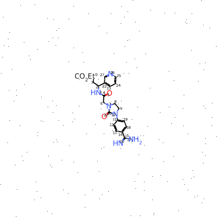 CCOC(=O)CC(NC(=O)CN1CCN(c2ccc(C(=N)N)cc2)C1=O)c1cccnc1